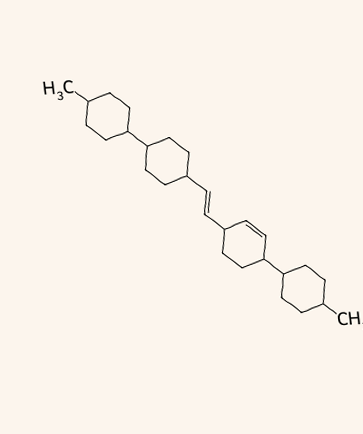 CC1CCC(C2C=CC(/C=C/C3CCC(C4CCC(C)CC4)CC3)CC2)CC1